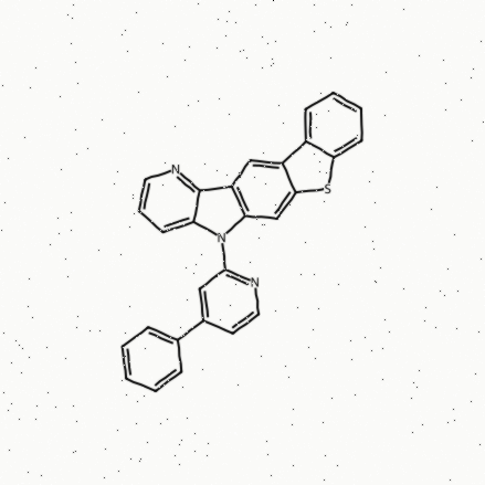 c1ccc(-c2ccnc(-n3c4cc5sc6ccccc6c5cc4c4ncccc43)c2)cc1